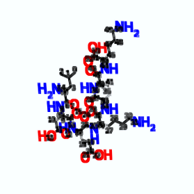 CC(C)C[C@H](N)C(=O)N[C@@H](CC(=O)O)C(=O)N[C@@H](CCC(=O)O)C(=O)N[C@@H](CCCCN)C(=O)N[C@@H](C)C(=O)N[C@@H](C)C(=O)N[C@@H](CCCCN)C(=O)O